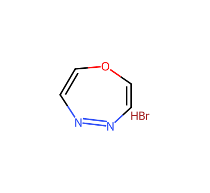 Br.C1=COC=CN=N1